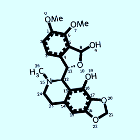 COc1ccc2c(c1OC)C(O)O[C@@H]2[C@H]1c2c(cc3c(c2O)OCO3)CCN1C